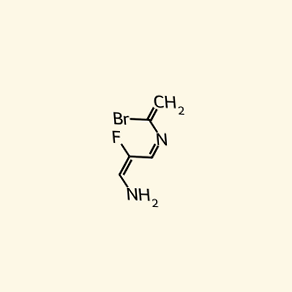 C=C(Br)/N=C\C(F)=C/N